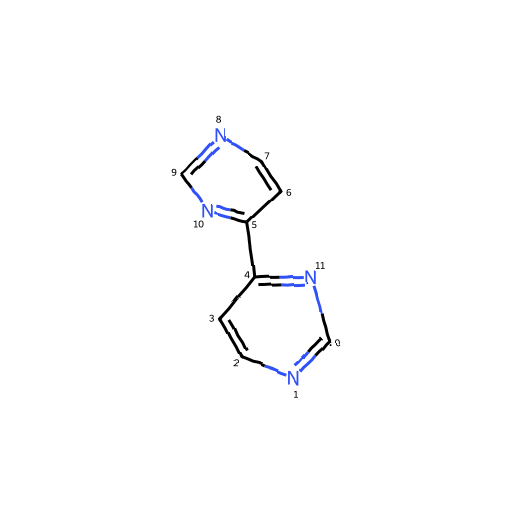 [c]1nccc(-c2ccncn2)n1